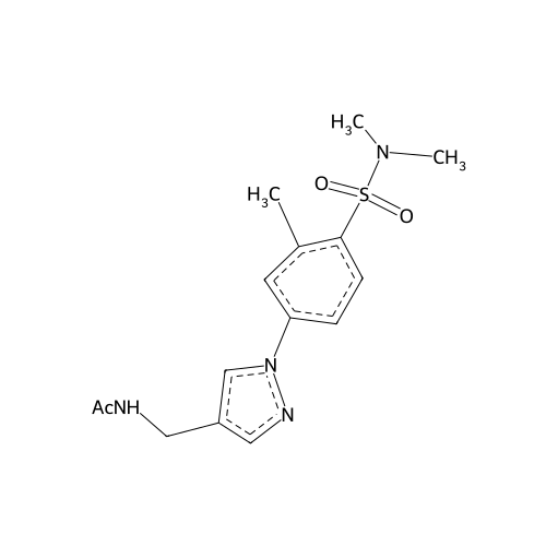 CC(=O)NCc1cnn(-c2ccc(S(=O)(=O)N(C)C)c(C)c2)c1